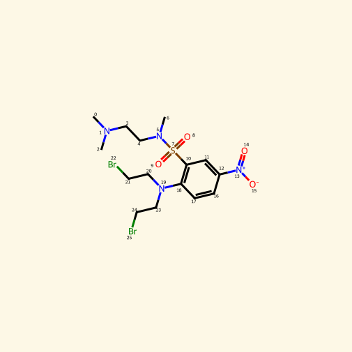 CN(C)CCN(C)S(=O)(=O)c1cc([N+](=O)[O-])ccc1N(CCBr)CCBr